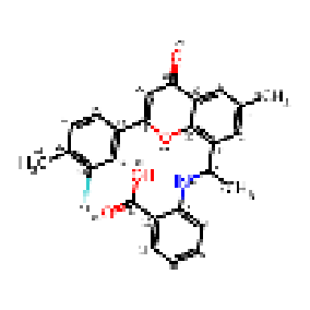 Cc1cc(C(C)Nc2ccccc2C(=O)O)c2oc(-c3ccc(C)c(F)c3)cc(=O)c2c1